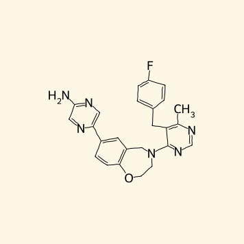 Cc1ncnc(N2CCOc3ccc(-c4cnc(N)cn4)cc3C2)c1Cc1ccc(F)cc1